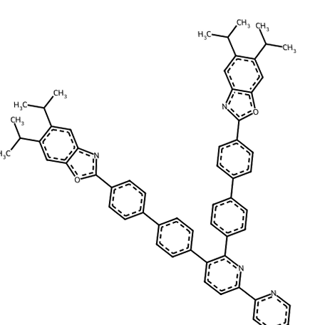 CC(C)c1cc2nc(-c3ccc(-c4ccc(-c5ccc(-c6ccccn6)nc5-c5ccc(-c6ccc(-c7nc8cc(C(C)C)c(C(C)C)cc8o7)cc6)cc5)cc4)cc3)oc2cc1C(C)C